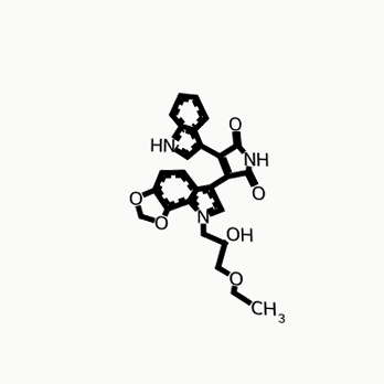 CCOCC(O)Cn1cc(C2=C(c3c[nH]c4ccccc34)C(=O)NC2=O)c2ccc3c(c21)OCO3